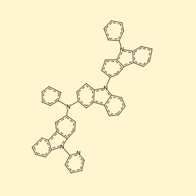 c1ccc(N(c2ccc3c(c2)c2ccccc2n3-c2ccc3c(c2)c2ccccc2n3-c2ccccc2)c2ccc3c(c2)c2ccccc2n3-c2ccccn2)cc1